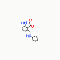 O=C1Nc2cccc(CNc3ccccc3)c2C1=O